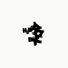 CCC(C)(C)N1CCC2(CCC2N)C1